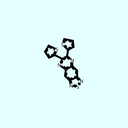 c1csc(-c2nc3cc4nsnc4cc3nc2-c2cccs2)c1